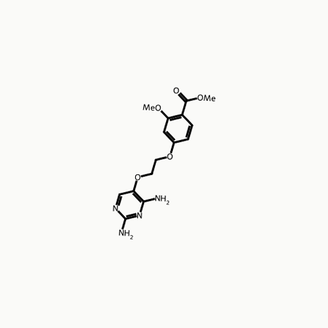 COC(=O)c1ccc(OCCOc2cnc(N)nc2N)cc1OC